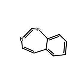 C1=Cc2ccccc2[N]C=N1